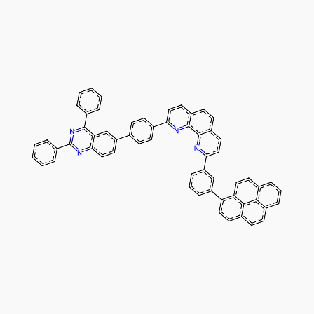 c1ccc(-c2nc(-c3ccccc3)c3cc(-c4ccc(-c5ccc6ccc7ccc(-c8cccc(-c9ccc%10ccc%11cccc%12ccc9c%10c%11%12)c8)nc7c6n5)cc4)ccc3n2)cc1